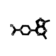 CCC(=O)N1CCN(c2nc(C)nc3c2cnn3C)CC1